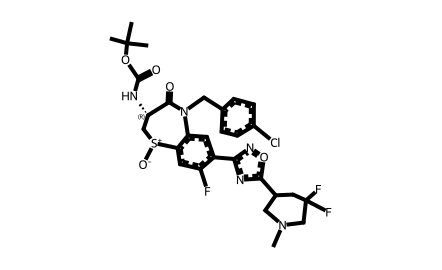 CN1CC(c2nc(-c3cc4c(cc3F)[S+]([O-])C[C@H](NC(=O)OC(C)(C)C)C(=O)N4Cc3ccc(Cl)cc3)no2)CC(F)(F)C1